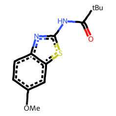 COc1ccc2nc(NC(=O)C(C)(C)C)sc2c1